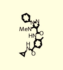 CNc1c(C(=O)Nc2cc(C(=O)NC3CC3)ccc2C)cnn1-c1ccccc1